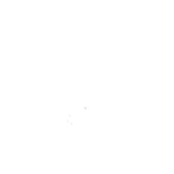 O=Cc1c[nH]nc1CF